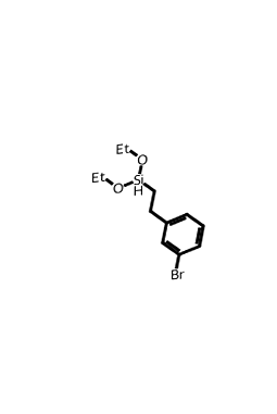 CCO[SiH](CCc1cccc(Br)c1)OCC